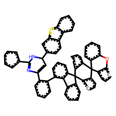 C1=C(c2ccccc2-c2cccc3c2-c2ccccc2C32c3ccccc3C3(c4ccccc4Oc4ccccc43)c3ccccc32)N=C(c2ccccc2)NC1c1ccc2c(c1)sc1ccccc12